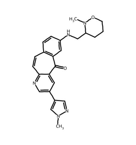 CN1OCCCC1CNc1ccc2ccc3ncc(-c4cnn(C)c4)cc3c(=O)c2c1